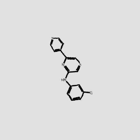 Clc1cccc(Nc2cncc(-c3[c]cncc3)n2)c1